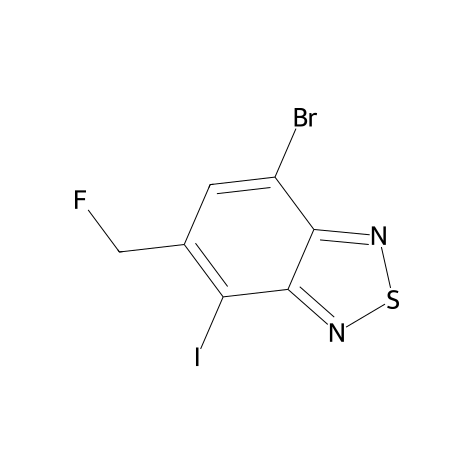 FCc1cc(Br)c2nsnc2c1I